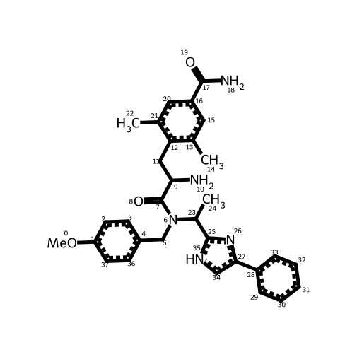 COc1ccc(CN(C(=O)C(N)Cc2c(C)cc(C(N)=O)cc2C)C(C)c2nc(-c3ccccc3)c[nH]2)cc1